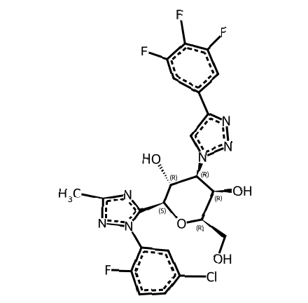 Cc1nc([C@@H]2O[C@H](CO)[C@H](O)[C@H](n3cc(-c4cc(F)c(F)c(F)c4)nn3)[C@H]2O)n(-c2cc(Cl)ccc2F)n1